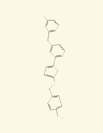 COc1ccc(CNC2=CC=C(c3cccc(Cc4cccc(C)c4)c3)C2)cc1